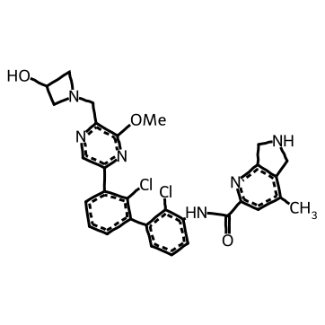 COc1nc(-c2cccc(-c3cccc(NC(=O)c4cc(C)c5c(n4)CNC5)c3Cl)c2Cl)cnc1CN1CC(O)C1